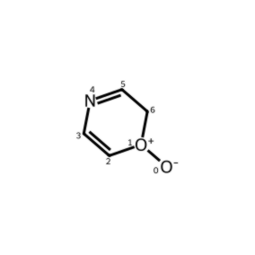 [O-][O+]1C=CN=CC1